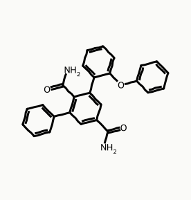 NC(=O)c1cc(-c2ccccc2)c(C(N)=O)c(-c2ccccc2Oc2ccccc2)c1